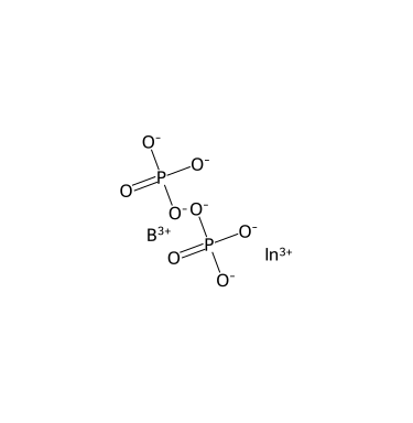 O=P([O-])([O-])[O-].O=P([O-])([O-])[O-].[B+3].[In+3]